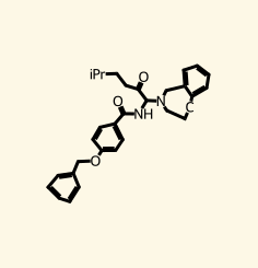 CC(C)CCC(=O)C(NC(=O)c1ccc(OCc2ccccc2)cc1)N1CCCc2ccccc2C1